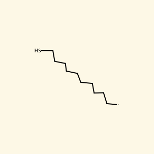 [CH2]CCCCCCCCCCS